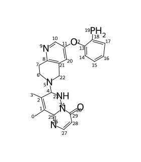 CC1=C(C)C(N2CCc3ncc(Oc4ccccc4P)cc3C2)Nn2c1nccc2=O